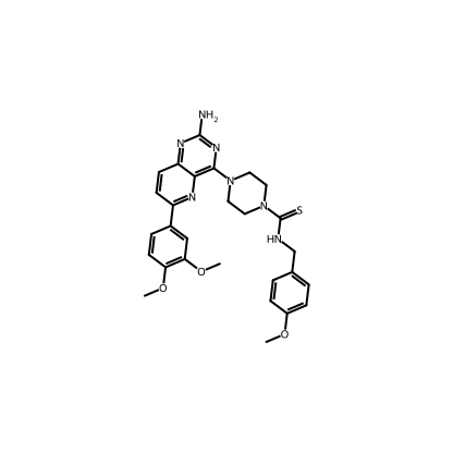 COc1ccc(CNC(=S)N2CCN(c3nc(N)nc4ccc(-c5ccc(OC)c(OC)c5)nc34)CC2)cc1